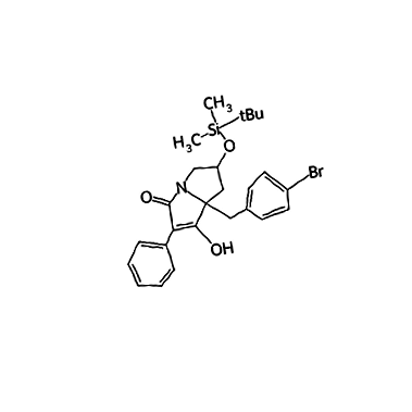 CC(C)(C)[Si](C)(C)OC1CN2C(=O)C(c3ccccc3)=C(O)C2(Cc2ccc(Br)cc2)C1